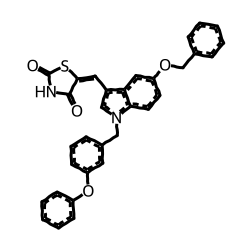 O=C1NC(=O)C(=Cc2cn(Cc3cccc(Oc4ccccc4)c3)c3ccc(OCc4ccccc4)cc23)S1